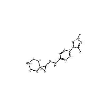 Cc1nn(C)cc1-c1ccc(NCC2CC23CCNCC3)nc1